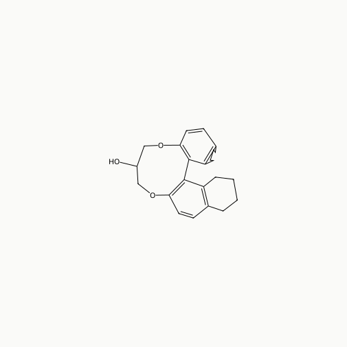 OC1COc2ccc3c(c2-c2c(ccc4c2CCCC4)OC1)CCCC3